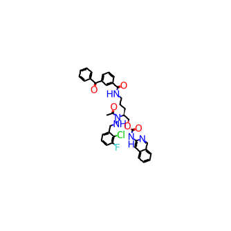 CC(=O)N(NCc1cccc(F)c1Cl)[C@@H](CCCNC(=O)c1cccc(C(=O)c2ccccc2)c1)COC(=O)Nc1cc2ccccc2cn1